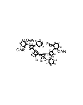 COc1cccc(OC(C)C)c1-c1cc(-c2ccncc2)c(-c2sc(-c3sc(-c4sc(-c5c(OC)cccc5OC(C)C)cc4-c4ccncc4)c(C)c3C)c(C)c2C)s1